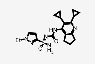 CCn1ccc(S(N)(=O)=NC(=O)Nc2c3c(nc(C4CC4)c2C2CC2)CCC3)n1